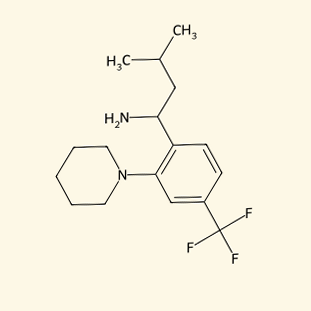 CC(C)CC(N)c1ccc(C(F)(F)F)cc1N1CCCCC1